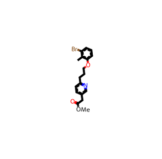 COC(=O)Cc1ccc(CCCOc2cccc(Br)c2C)nc1